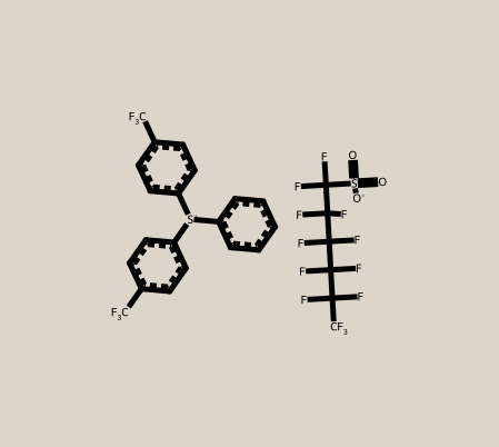 FC(F)(F)c1ccc([S+](c2ccccc2)c2ccc(C(F)(F)F)cc2)cc1.O=S(=O)([O-])C(F)(F)C(F)(F)C(F)(F)C(F)(F)C(F)(F)C(F)(F)F